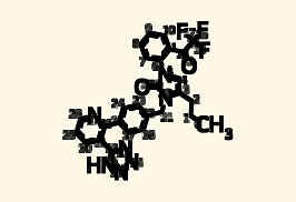 CCCc1cn(-c2ccccc2C(=O)C(F)(F)F)c(=O)n1Cc1ccc(-c2ncccc2-c2nnn[nH]2)cc1